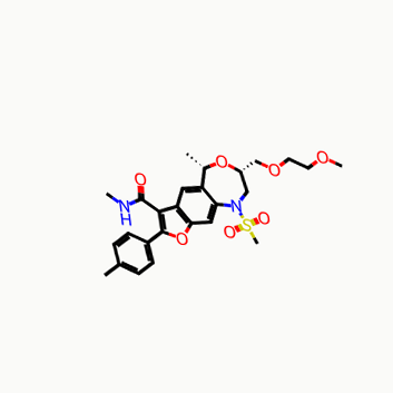 CNC(=O)c1c(-c2ccc(C)cc2)oc2cc3c(cc12)[C@H](C)O[C@H](COCCOC)CN3S(C)(=O)=O